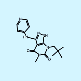 Cn1c(=O)c2c(Nc3ccncc3)n[nH]c2n(CC(C)(C)C)c1=O